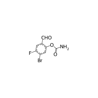 NC(=O)Oc1cc(Br)c(F)cc1C=O